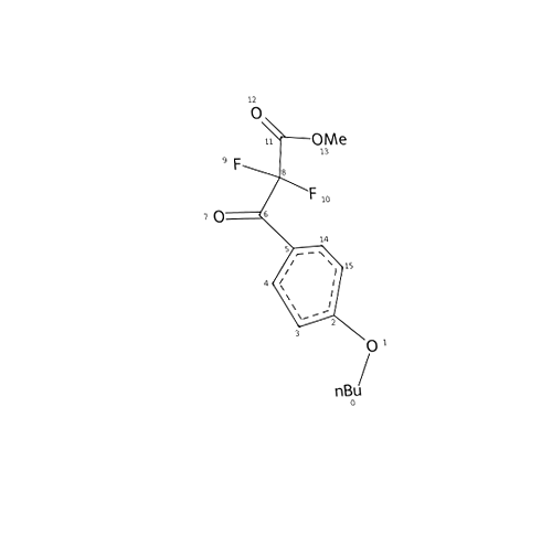 CCCCOc1ccc(C(=O)C(F)(F)C(=O)OC)cc1